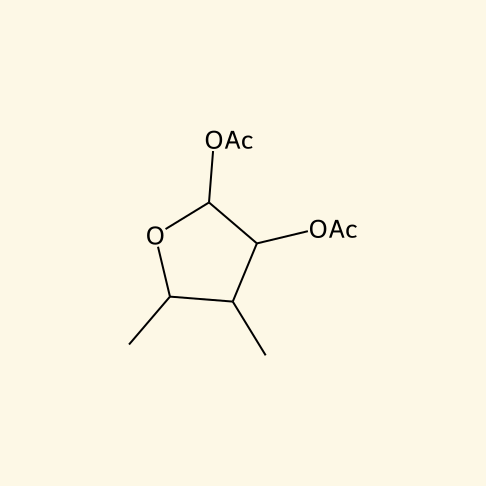 CC(=O)OC1OC(C)C(C)C1OC(C)=O